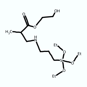 CCO[Si](CCCNCC(C)C(=O)OCCO)(OCC)OCC